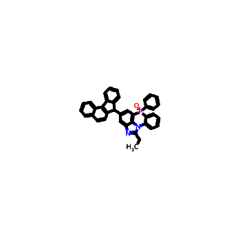 CCc1nc2cc(C3c4ccccc4-c4c3ccc3ccccc43)cc3c2n1-c1ccccc1P3(=O)c1ccccc1